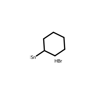 Br.[Sn][CH]1CCCCC1